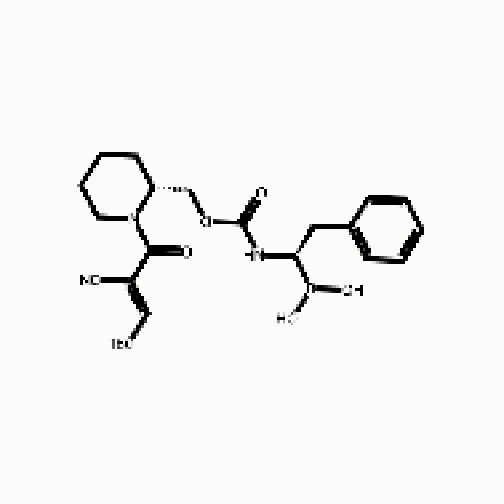 CC(C)(C)/C=C(\C#N)C(=O)N1CCCC[C@@H]1COC(=O)N[C@@H](Cc1ccccc1)B(O)O